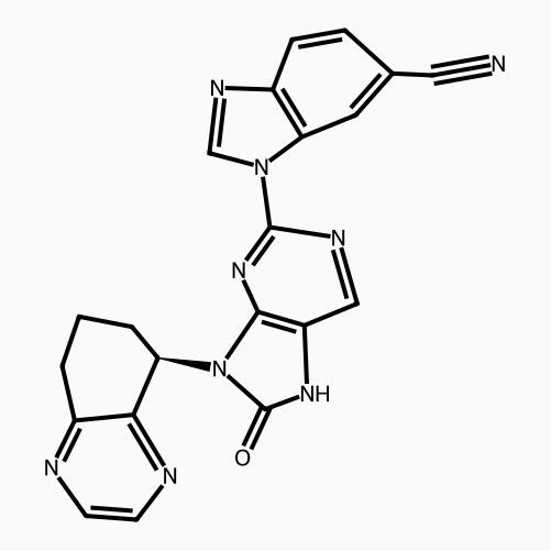 N#Cc1ccc2ncn(-c3ncc4[nH]c(=O)n([C@@H]5CCCc6nccnc65)c4n3)c2c1